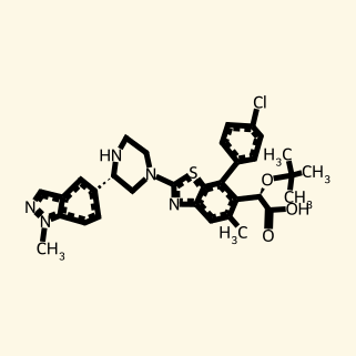 Cc1cc2nc(N3CCN[C@@H](c4ccc5c(cnn5C)c4)C3)sc2c(-c2ccc(Cl)cc2)c1[C@H](OC(C)(C)C)C(=O)O